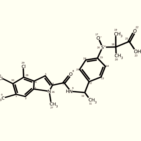 Cc1cc2c(cc(C(=O)NC(C)c3ccc([S+]([O-])C(C)(C)C(=O)O)cc3)n2C)c(Cl)c1Cl